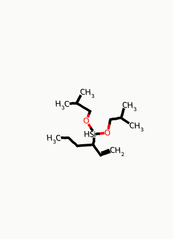 C=CC(CCC)[SiH](OCC(C)C)OCC(C)C